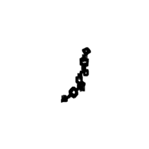 O=C(CN1CCc2c(cnn2-c2ccc(Br)cc2)C1)N1CCN(C2CCC2)CC1